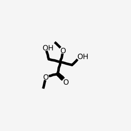 COC(=O)C(CO)(CO)OC